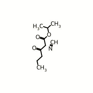 C#N.CCCC(=O)CC(=O)OC(C)C